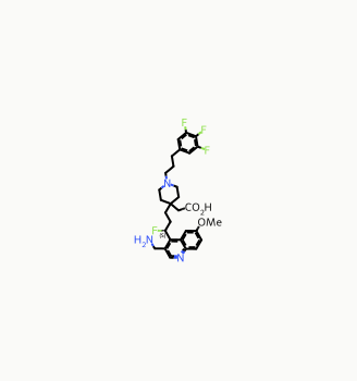 COc1ccc2ncc(CN)c([C@@H](F)CCC3(CC(=O)O)CCN(CCCc4cc(F)c(F)c(F)c4)CC3)c2c1